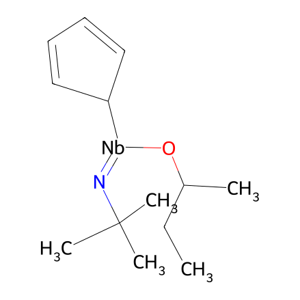 CCC(C)[O][Nb](=[N]C(C)(C)C)[CH]1C=CC=C1